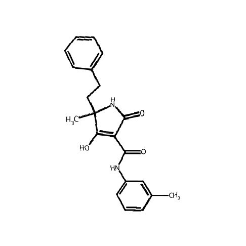 Cc1cccc(NC(=O)C2=C(O)C(C)(CCc3ccccc3)NC2=O)c1